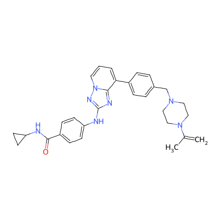 C=C(C)N1CCN(Cc2ccc(-c3cccn4nc(Nc5ccc(C(=O)NC6CC6)cc5)nc34)cc2)CC1